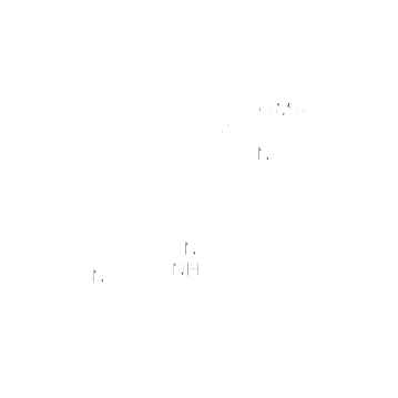 COC(=O)N(C)c1ccc2c(c1)CCN(Nc1ccncc1)C2